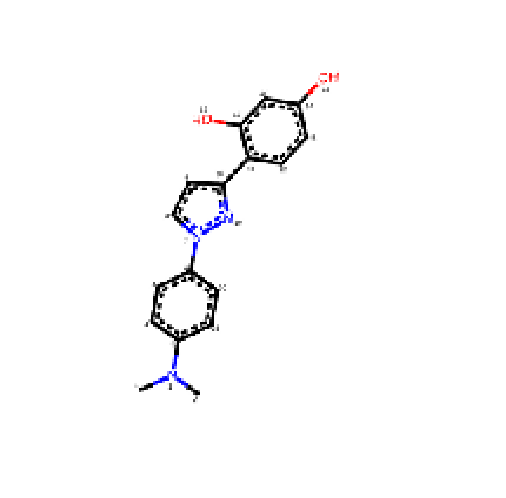 CN(C)c1ccc(-n2ccc(-c3ccc(O)cc3O)n2)cc1